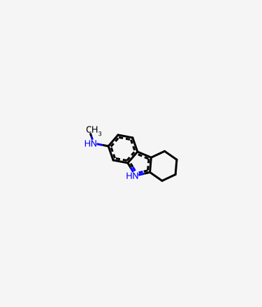 CNc1ccc2c3c([nH]c2c1)CCCC3